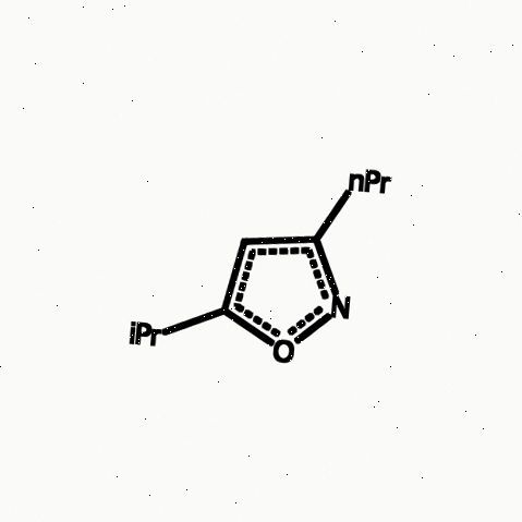 CCCc1cc(C(C)C)on1